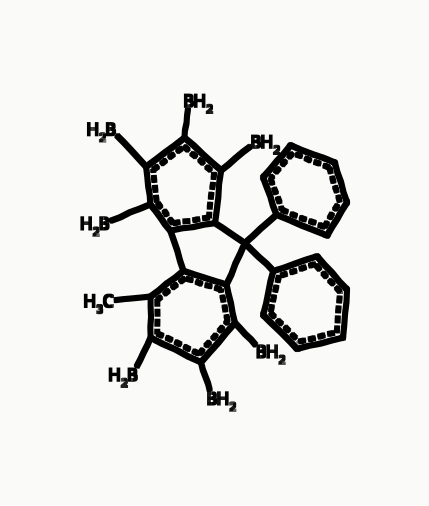 Bc1c(B)c(B)c2c(c1B)-c1c(C)c(B)c(B)c(B)c1C2(c1ccccc1)c1ccccc1